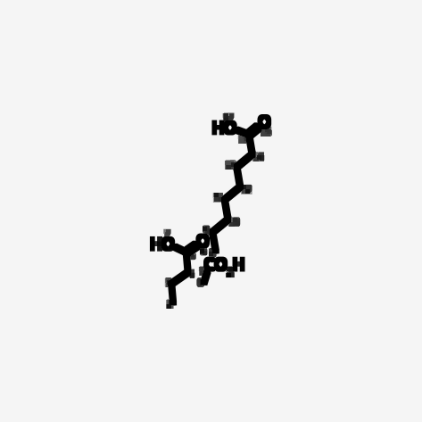 CC(=O)O.CCCC(=O)O.CCCCCCCC(=O)O